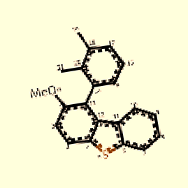 COc1ccc2sc3ccccc3c2c1-c1cccc(C)c1C